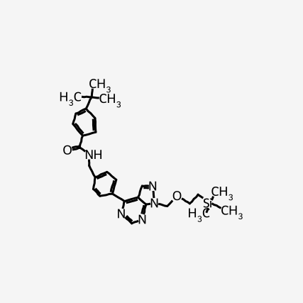 CC(C)(C)c1ccc(C(=O)NCc2ccc(-c3ncnc4c3cnn4COCC[Si](C)(C)C)cc2)cc1